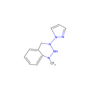 FC(F)(F)N1NN(n2cccn2)Cc2ccccc21